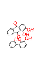 O=C1c2ccccc2C(=O)c2c1ccc(O)c2O.Oc1cccc(-c2ccccc2)c1O